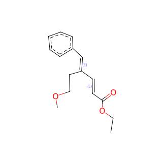 CCOC(=O)/C=C/C(=C/c1ccccc1)CCOC